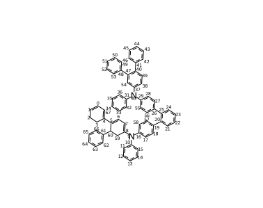 C1=CCCC(C2=CC=C(N(c3ccccc3)c3ccc(-c4ccccc4-c4ccc(N(c5ccccc5)c5ccc(-c6ccccc6)c(-c6ccccc6)c5)cc4)cc3)CC2c2ccccc2)=C1